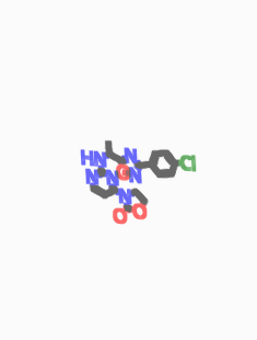 CC(Nc1nccc(N2CCOC2=O)n1)c1nc(-c2ccc(Cl)cc2)no1